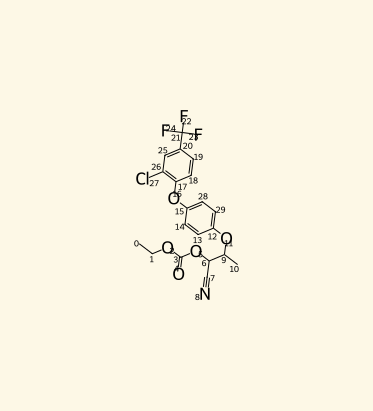 CCOC(=O)OC(C#N)C(C)Oc1ccc(Oc2ccc(C(F)(F)F)cc2Cl)cc1